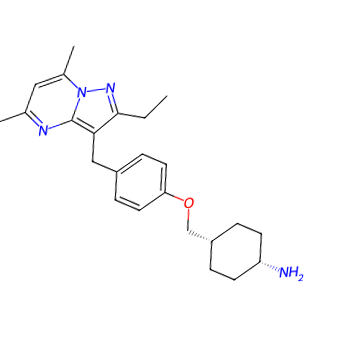 CCc1nn2c(C)cc(C)nc2c1Cc1ccc(OC[C@H]2CC[C@@H](N)CC2)cc1